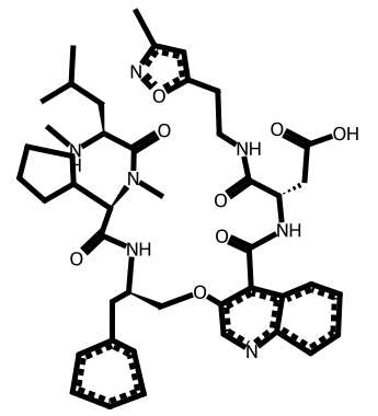 CN[C@@H](CC(C)C)C(=O)N(C)[C@@H](C(=O)N[C@@H](COc1cnc2ccccc2c1C(=O)N[C@@H](CC(=O)O)C(=O)NCCc1cc(C)no1)Cc1ccccc1)C1CCCC1